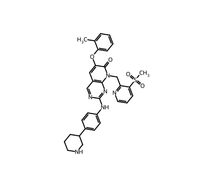 Cc1ccccc1Oc1cc2cnc(Nc3ccc(C4CCCNC4)cc3)nc2n(Cc2ncccc2S(C)(=O)=O)c1=O